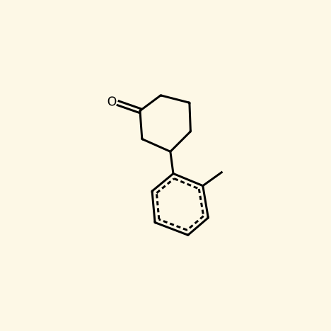 Cc1ccccc1C1CCCC(=O)C1